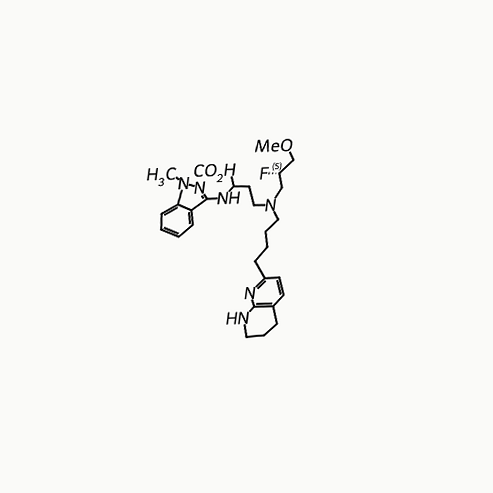 COC[C@@H](F)CN(CCCCc1ccc2c(n1)NCCC2)CCC(Nc1nn(C)c2ccccc12)C(=O)O